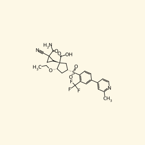 CCO[C@H]1C[C@@H](S(=O)(=O)c2ccc(-c3ccnc(C)c3)cc2C(F)(F)F)C[C@]1(C(=O)O)C1CC1(C#N)C(N)=O